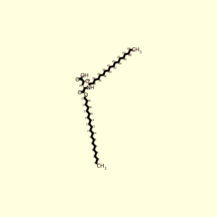 CCCCCCCCCCCCCCCCCCCCCCOC(=O)[C@H](CCC(=O)O)NC(=O)CCCCCCCCCCCCCCCCC